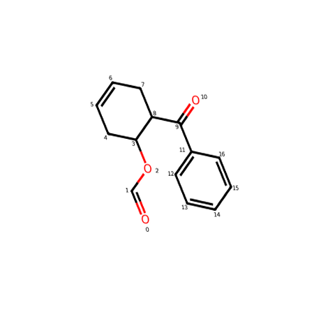 O=COC1CC=CCC1C(=O)c1ccccc1